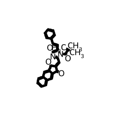 CC(C)(C)C(=O)n1c(C=C2C(=O)c3cc4ccccc4cc3C2=O)nc2oc(-c3ccccc3)cc21